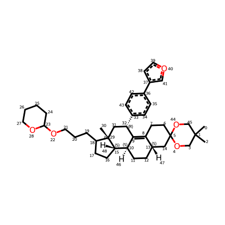 CC1(C)COC2(CCC3=C4[C@@H](CC[C@H]3C2)[C@@H]2CCC(CCCOC3CCCCO3)[C@]2(C)C[C@@H]4c2ccc(-c3ccoc3)cc2)OC1